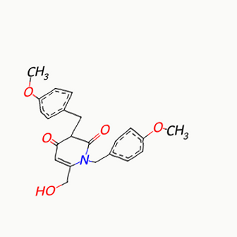 COc1ccc(CC2C(=O)C=C(CO)N(Cc3ccc(OC)cc3)C2=O)cc1